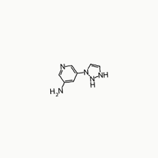 Nc1cncc(N2C=CNN2)c1